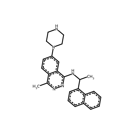 Cc1nnc(NC(C)c2cccc3ccccc23)c2cc(N3CCNCC3)ccc12